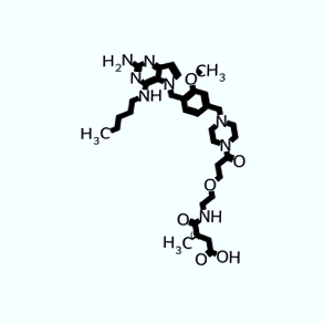 CCCCCNc1nc(N)nc2ccn(Cc3ccc(CN4CCN(C(=O)CCOCCNC(=O)[C@@H](C)CC(=O)O)CC4)cc3OC)c12